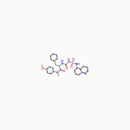 COc1ccc(N(C)C(=O)C(Cc2ccccc2)NC(=O)NS(=O)(=O)Nc2cccc3ncccc23)cc1